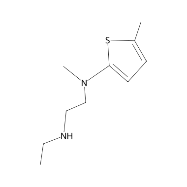 CCNCCN(C)c1ccc(C)s1